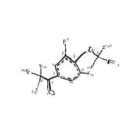 O=C(c1cc(F)c(OC(F)(F)F)c(F)c1)C(F)(F)F